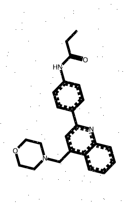 CCC(=O)Nc1ccc(-c2cc(CN3CCOCC3)c3ccccc3n2)cc1